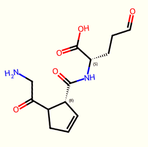 NCC(=O)C1CC=C[C@H]1C(=O)N[C@@H](CCC=O)C(=O)O